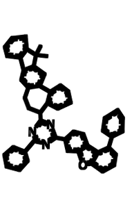 CC1(C)c2ccccc2-c2cc3c(cc21)-c1ccccc1C(c1nc(-c2ccccc2)nc(-c2ccc4c(c2)oc2cccc(-c5ccccc5)c24)n1)CC3